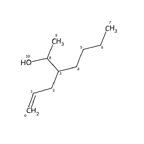 C=CCC(CCCC)C(C)O